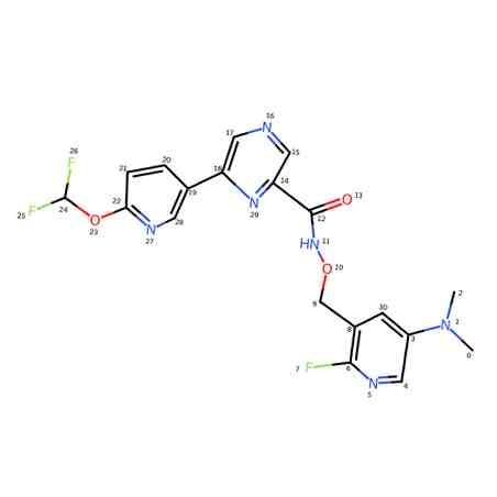 CN(C)c1cnc(F)c(CONC(=O)c2cncc(-c3ccc(OC(F)F)nc3)n2)c1